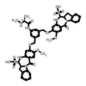 CN[C@@H](C)C(=O)Nc1cc(COc2cc3c(cc2OC)C(=O)N2c4ccccc4CC2C(S(=O)(=O)O)N3)cc(COc2cc3c(cc2OC)C(=O)N2c4ccccc4CC2[C@@H](S(=O)(=O)O)N3)c1